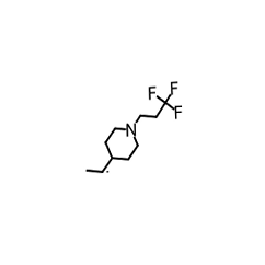 C[CH]C1CCN(CCC(F)(F)F)CC1